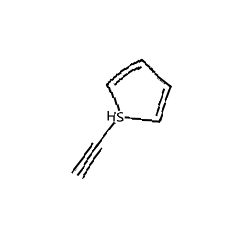 C#C[SH]1C=CC=C1